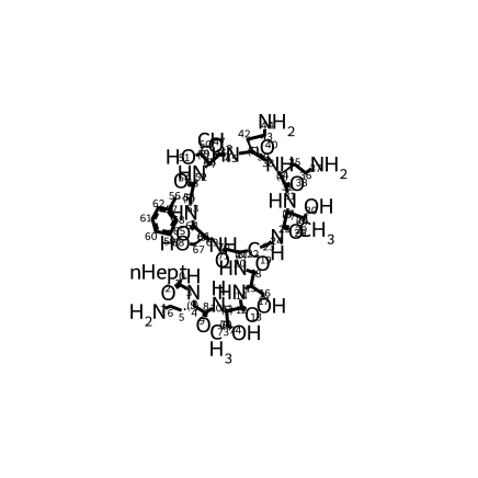 CCCCCCCC(=O)N[C@@H](CCN)C(=O)N[C@H](C(=O)NC(CO)C(=O)N[C@H]1CCNC(=O)[C@H]([C@@H](C)O)NC(=O)[C@H](CCN)NC(=O)[C@H](CCN)NC(=O)[C@H]([C@@H](C)O)NC(=O)[C@@H](Cc2ccccc2)NC(=O)[C@H](CO)NC1=O)[C@@H](C)O